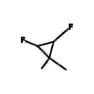 CC1(C)C(F)C1F